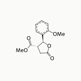 COC(=O)[C@H]1CC(=O)O[C@@H]1c1ccccc1OC